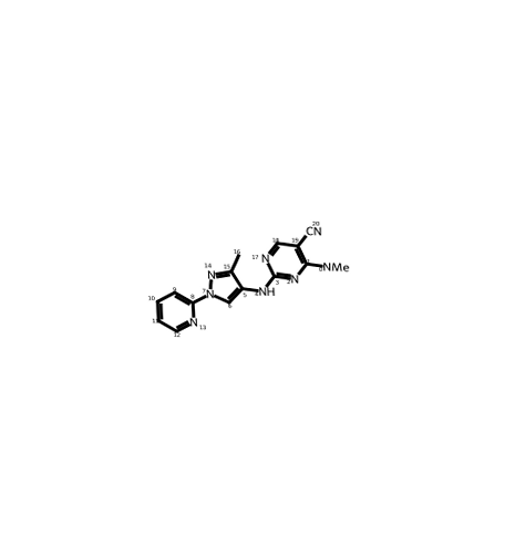 CNc1nc(Nc2cn(-c3ccccn3)nc2C)ncc1C#N